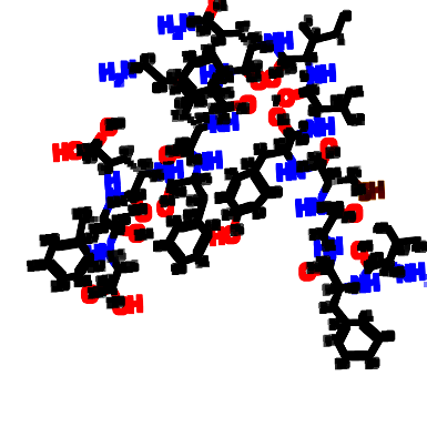 CC[C@H](C)[C@H](NC(=O)[C@@H](NC(=O)[C@H](Cc1ccc(O)cc1)NC(=O)[C@H](CS)NC(=O)CNC(=O)[C@H](Cc1ccccc1)NC(=O)[C@@H](N)C(C)C)C(C)C)C(=O)N[C@@H](CCC(N)=O)C(=O)N[C@@H](CCCCN)C(=O)N[C@@H](Cc1ccccc1)C(=O)N[C@@H](Cc1ccccc1)C(=O)N[C@@H](CCC(=O)O)C(=O)N[C@@H](Cc1ccccc1)C(=O)NCC(=O)O